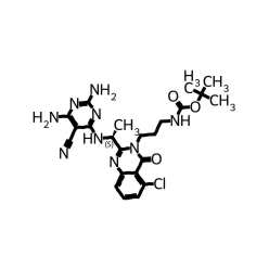 C[C@H](Nc1nc(N)nc(N)c1C#N)c1nc2cccc(Cl)c2c(=O)n1CCCNC(=O)OC(C)(C)C